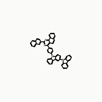 c1ccc2cc(-c3nc(-c4ccc(-n5c6ccccc6c6cc(-n7c8ccccc8c8ccccc87)ccc65)cc4)c4ccc5ccccc5c4n3)ccc2c1